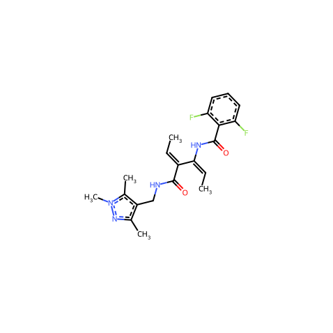 C/C=C(NC(=O)c1c(F)cccc1F)\C(=C/C)C(=O)NCc1c(C)nn(C)c1C